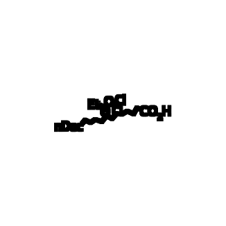 CCC(=O)OC(Cl)Cl.CCCCCCCCCCCCCCCCCCCCCC(=O)O